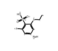 CCSc1cccc(F)c1S(=O)(=O)O.[NaH]